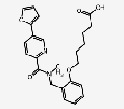 CN(Cc1ccccc1OCCCCCC(=O)O)C(=O)c1ccc(-c2ccco2)cn1